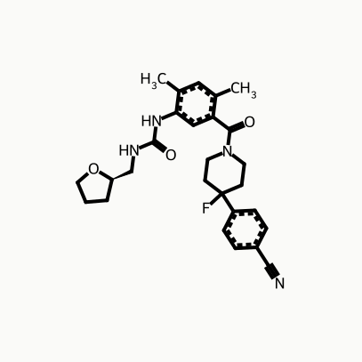 Cc1cc(C)c(C(=O)N2CCC(F)(c3ccc(C#N)cc3)CC2)cc1NC(=O)NC[C@H]1CCCO1